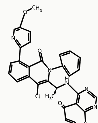 COc1ccc(-c2cccc3c(Cl)c([C@H](C)Nc4ncnc5[nH]ccc(=O)c45)n(-c4ccccc4)c(=O)c23)nc1